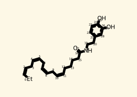 CC/C=C\C/C=C\C/C=C\C/C=C\CCCCC(=O)NCCc1ccc(O)c(O)c1